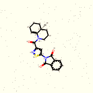 O=C(c1cc(N2C(=O)c3ccccc3C2=O)sn1)N1CCC[C@@H]2CCCC=C21